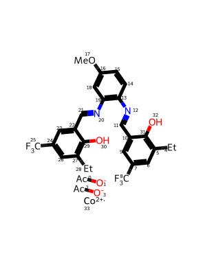 CC(=O)[O-].CC(=O)[O-].CCc1cc(C(F)(F)F)cc(C=Nc2ccc(OC)cc2N=Cc2cc(C(F)(F)F)cc(CC)c2O)c1O.[Co+2]